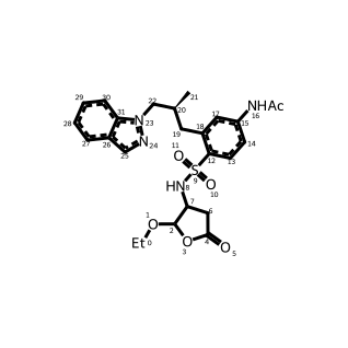 CCOC1OC(=O)CC1NS(=O)(=O)c1ccc(NC(C)=O)cc1C[C@H](C)Cn1ncc2ccccc21